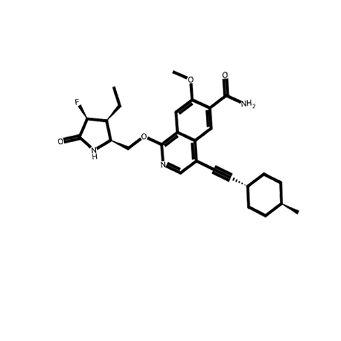 CC[C@@H]1[C@H](F)C(=O)N[C@@H]1COc1ncc(C#C[C@H]2CC[C@H](C)CC2)c2cc(C(N)=O)c(OC)cc12